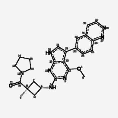 COc1nc(N[C@H]2C[C@](C)(C(=O)N3CCCC3)C2)nc2[nH]cc(-c3ccc4nnccc4c3)c12